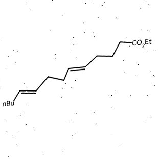 CCCCC=CCCC=CCCCC(=O)OCC